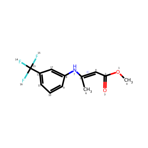 COC(=O)/C=C(\C)Nc1cccc(C(F)(F)F)c1